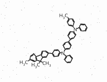 Cc1ccc(N(c2ccccc2)c2ccc(-c3ccc(N(c4ccccc4)c4ccc(-c5ccc6c(c5)C(C)(C)c5cc(C)ccc5-6)cc4)cc3)cc2)cc1